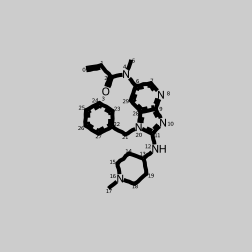 C=CC(=O)N(C)c1cnc2nc(NC3CCN(C)CC3)n(Cc3ccccc3)c2c1